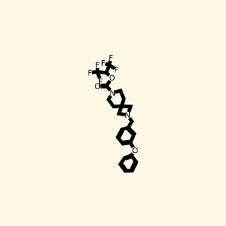 O=C(OC(C(F)(F)F)C(F)(F)F)N1CCC2(CC1)CN(Cc1cccc(Oc3ccccc3)c1)C2